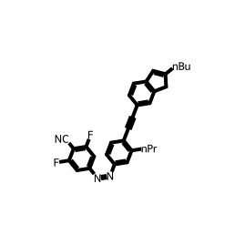 CCCCC1=Cc2ccc(C#Cc3ccc(/N=N\c4cc(F)c(C#N)c(F)c4)cc3CCC)cc2C1